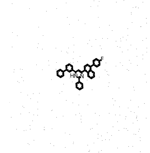 Fc1ccc(-c2ccc(C3=CC(c4cccc(-c5ccccc5)c4)NC(c4ccccc4)=N3)c3ccccc23)cc1